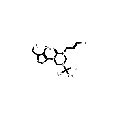 C/C=C/CN1CN(C(C)(C)C)CN(c2snc(CC)c2C)C1=O